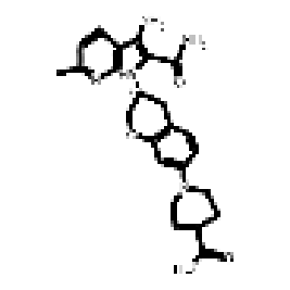 Cc1ccc2c(n1)[SH]([C@H]1COc3cc(N4CCC(C(=O)O)CC4)ccc3C1)C(C(N)=O)=C2N